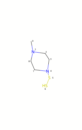 CN1CCN(SS)CC1